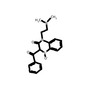 CN(C)CCN1C(=O)C(C(=O)c2ccccc2)[S+]([O-])c2ccccc21